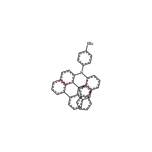 CC(C)(C)c1ccc(N(c2ccccc2-c2cccc3cccc(-c4ccccc4)c23)c2cccc3c2sc2ccccc23)cc1